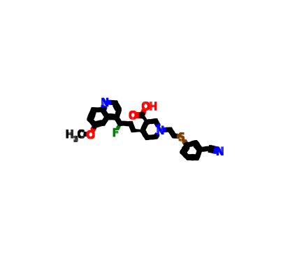 COc1ccc2nccc([C@H](F)CC[C@@H]3CCN(CCSc4cccc(C#N)c4)C[C@@H]3C(=O)O)c2c1